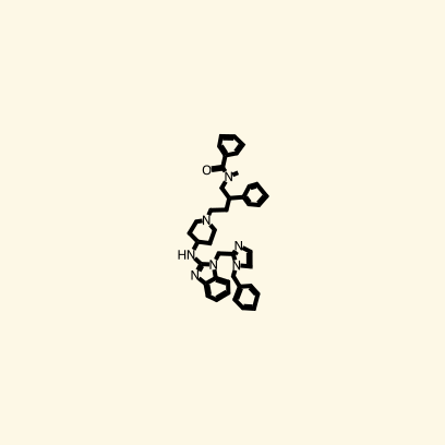 CN(CC(CCN1CCC(Nc2nc3ccccc3n2Cc2nccn2Cc2ccccc2)CC1)c1ccccc1)C(=O)c1ccccc1